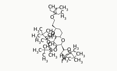 CC[Si](CC)(CC)OCC[C@H]1CCC2O[C@@H](C(/C=C/I)O[Si](C)(C)C(C)(C)C)[C@@H](O[Si](C)(C)C(C)(C)C)C(O[Si](C)(C)C(C)(C)C)[C@H]2O1